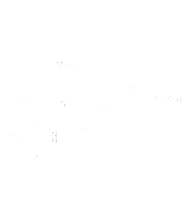 COc1cc(OCC(=O)O)cc2oc(Nc3ccccc3C)nc12